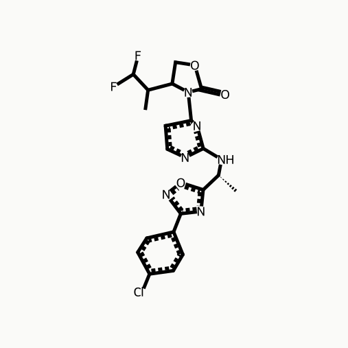 CC(C(F)F)C1COC(=O)N1c1ccnc(N[C@H](C)c2nc(-c3ccc(Cl)cc3)no2)n1